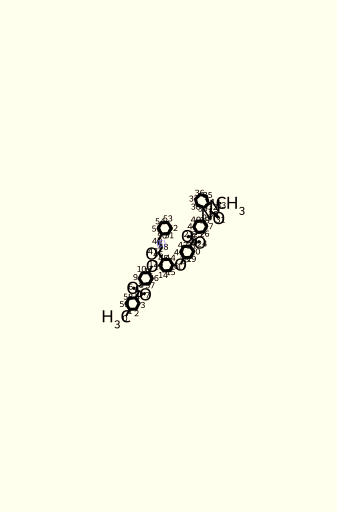 Cc1ccc(S(=O)(=O)c2ccc(Oc3ccc(Oc4ccc(S(=O)(=O)c5ccc(-n6c(=O)n(C)c7ccccc76)cc5)cc4)cc3C(=O)/C=C/c3ccccc3)cc2)cc1